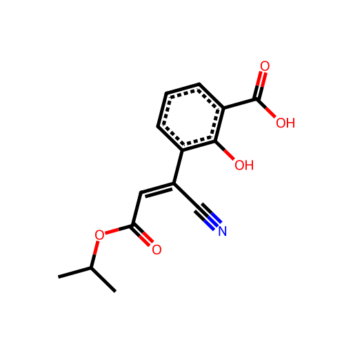 CC(C)OC(=O)C=C(C#N)c1cccc(C(=O)O)c1O